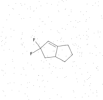 FC1(F)C=C2CCCC2C1